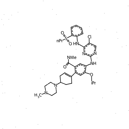 CCCS(=O)(=O)c1ccccc1Nc1nc(Nc2cc(C(=O)NC)c(C3=CCC(N4CCN(C)CC4)CC3)cc2OC(C)C)ncc1Cl